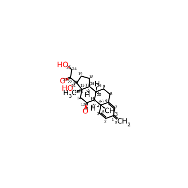 C=C1C=C[C@@]2(C)C(=C1)CC[C@@H]1[C@@H]2C(=O)C[C@@]2(C)[C@H]1CC[C@]2(O)C(=O)CO